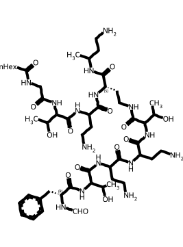 CCCCCCC(=O)NCC(=O)NC(C(=O)NC(CCN)C(=O)N[C@@H](CCNC(=O)C(NC(=O)C(CCN)NC(=O)C(CCN)NC(=O)C(NC(=O)[C@@H](Cc1ccccc1)NC=O)C(C)O)C(C)O)C(=O)NC(C)CCN)C(C)O